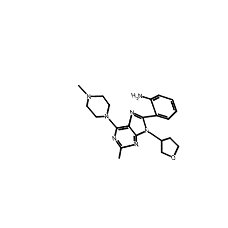 Cc1nc(N2CCN(C)CC2)c2nc(-c3ccccc3N)n(C3CCOC3)c2n1